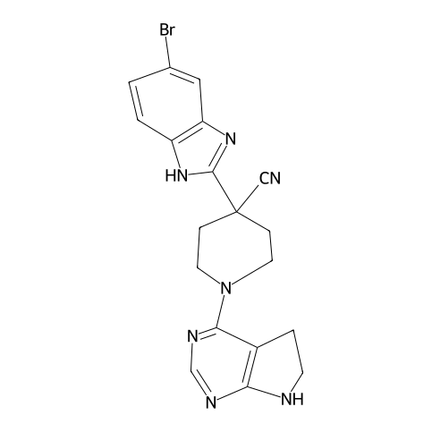 N#CC1(c2nc3cc(Br)ccc3[nH]2)CCN(c2ncnc3c2CCN3)CC1